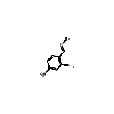 O=[N+]([O-])c1ccc(/C=N/O)c([N+](=O)[O-])c1